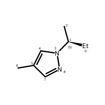 CC[C@H](C)n1cc(C)cn1